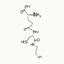 NC(CCC(=O)NC(CS)C(=O)NCCS)C(=O)O